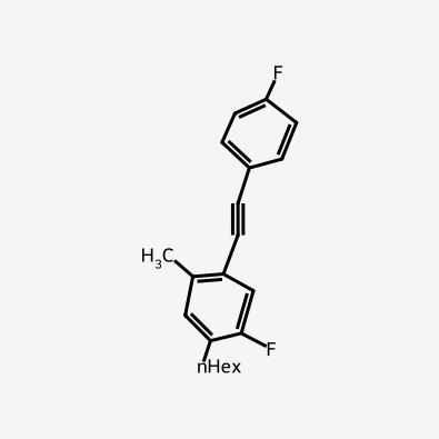 CCCCCCc1cc(C)c(C#Cc2ccc(F)cc2)cc1F